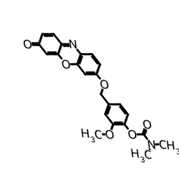 COc1cc(COc2ccc3nc4ccc(=O)cc-4oc3c2)ccc1OC(=O)N(C)C